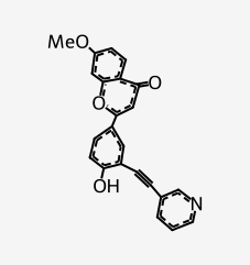 COc1ccc2c(=O)cc(-c3ccc(O)c(C#Cc4cccnc4)c3)oc2c1